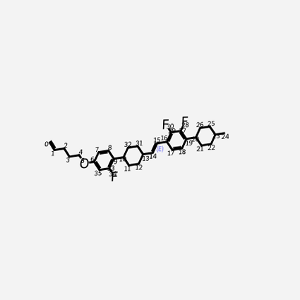 C=CCCCOc1ccc(C2CCC(/C=C/c3ccc(C4CCC(C)CC4)c(F)c3F)CC2)c(F)c1